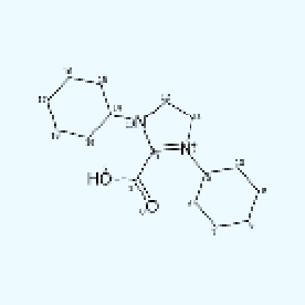 O=C(O)C1=[N+](C2CCCCC2)CCN1C1CCCCC1